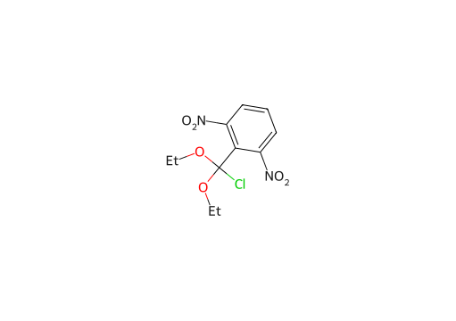 CCOC(Cl)(OCC)c1c([N+](=O)[O-])cccc1[N+](=O)[O-]